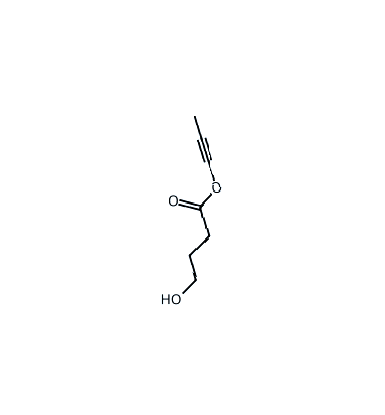 CC#COC(=O)CCCO